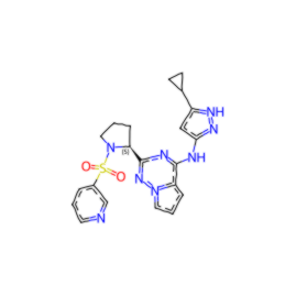 O=S(=O)(c1cccnc1)N1CCC[C@H]1c1nc(Nc2cc(C3CC3)[nH]n2)c2cccn2n1